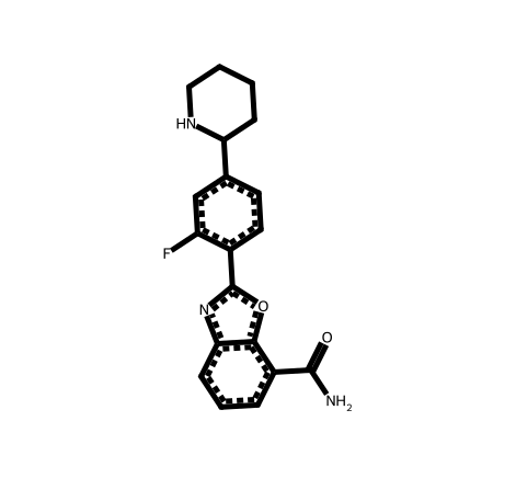 NC(=O)c1cccc2nc(-c3ccc(C4CCCCN4)cc3F)oc12